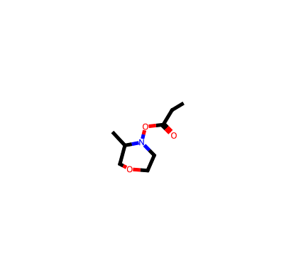 CCC(=O)ON1CCOCC1C